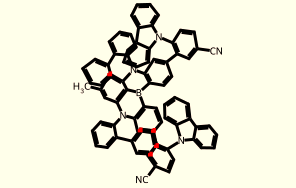 Cc1cc2c3c(c1)N(c1ccccc1-c1ccccc1)c1cc(-c4cc(C#N)ccc4-n4c5ccccc5c5ccccc54)ccc1B3c1ccc(-c3cc(C#N)ccc3-n3c4ccccc4c4ccccc43)cc1N2c1ccccc1-c1ccccc1